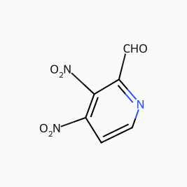 O=Cc1nccc([N+](=O)[O-])c1[N+](=O)[O-]